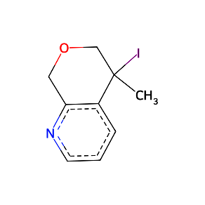 CC1(I)COCc2ncccc21